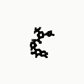 Cc1cc2c(cn1)cc(-c1cc(NC(=O)c3cc(-n4cnc(C)c4)cc(C(F)(F)F)c3)ccc1C)c(=O)n2C